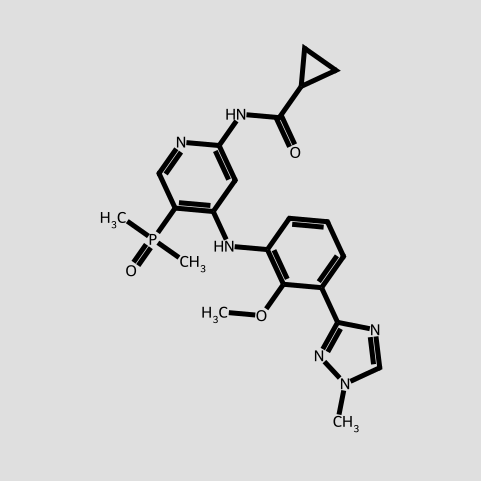 COc1c(Nc2cc(NC(=O)C3CC3)ncc2P(C)(C)=O)cccc1-c1ncn(C)n1